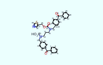 O=C(c1ccccc1)c1ccc(CN(CCCN(Cc2ccc(C(=O)c3ccccc3)cc2)C(=O)OCc2cncs2)C(=O)O)cc1